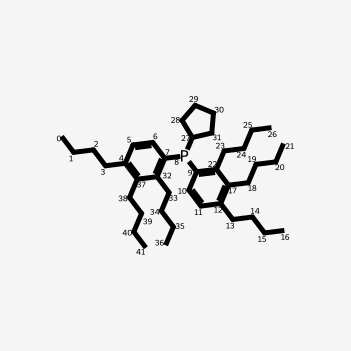 CCCCc1ccc(P(c2ccc(CCCC)c(CCCC)c2CCCC)C2CCCC2)c(CCCC)c1CCCC